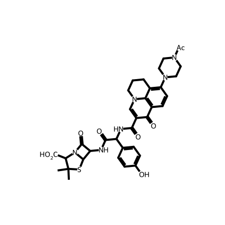 CC(=O)N1CCN(c2ccc3c(=O)c(C(=O)NC(C(=O)NC4C(=O)N5C4SC(C)(C)C5C(=O)O)c4ccc(O)cc4)cn4c3c2CCC4)CC1